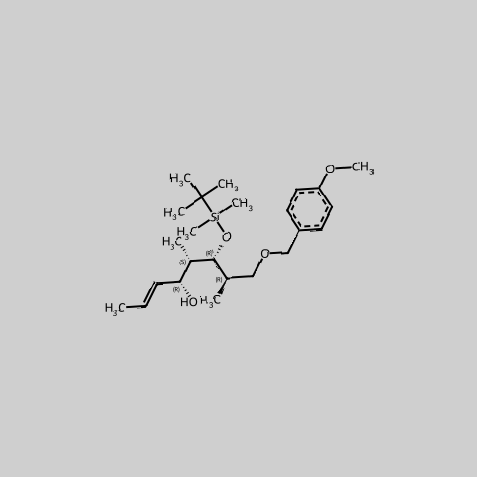 CC=C[C@@H](O)[C@H](C)[C@H](O[Si](C)(C)C(C)(C)C)[C@H](C)COCc1ccc(OC)cc1